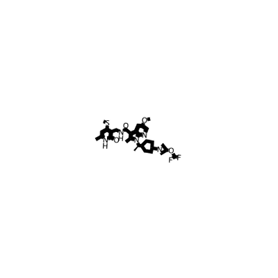 COc1cnc2c(c1)c(C(=O)NCc1c(SC)cc(C)[nH]c1=O)c(C)n2[C@H](C)C1CCC(N2CC(OC(F)F)C2)CC1